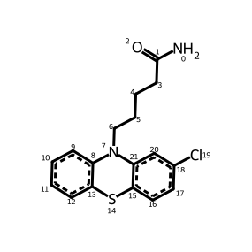 NC(=O)CCCCN1c2ccccc2Sc2ccc(Cl)cc21